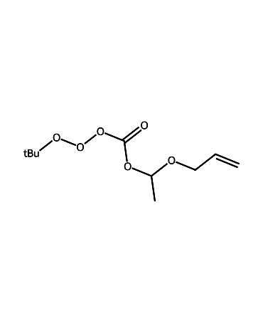 C=CCOC(C)OC(=O)OOOC(C)(C)C